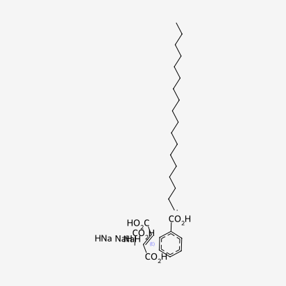 CC(=O)O.O=C(O)/C=C/C(=O)O.O=C(O)c1ccccc1.[CH2]CCCCCCCCCCCCCCCCC.[NaH].[NaH].[NaH]